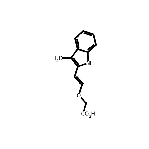 Cc1c(C=COCC(=O)O)[nH]c2ccccc12